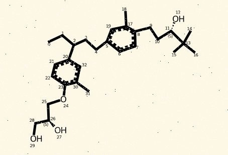 CCC(CCc1ccc(CC[C@H](O)C(C)(C)C)c(C)c1)c1ccc(OC[C@@H](O)CO)c(C)c1